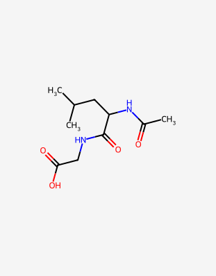 CC(=O)NC(CC(C)C)C(=O)NCC(=O)O